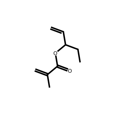 C=CC(CC)OC(=O)C(=C)C